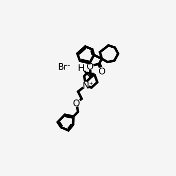 O=C(O[C@H]1C[N+]2(CCOCc3ccccc3)CCC1CC2)C1(c2ccccc2)CCCCCC1.[Br-]